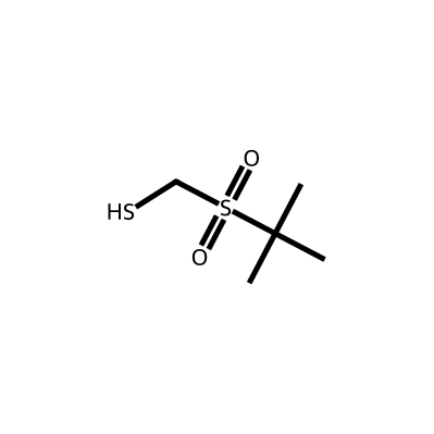 CC(C)(C)S(=O)(=O)CS